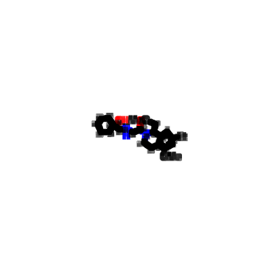 CCc1cc(OC)c2c(c1)C(COC)N(C(=O)CNCC1(O)CCCCC1)CC2